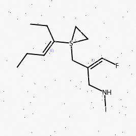 CC/C=C(\CC)S1(C/C(=C/F)CNI)CC1